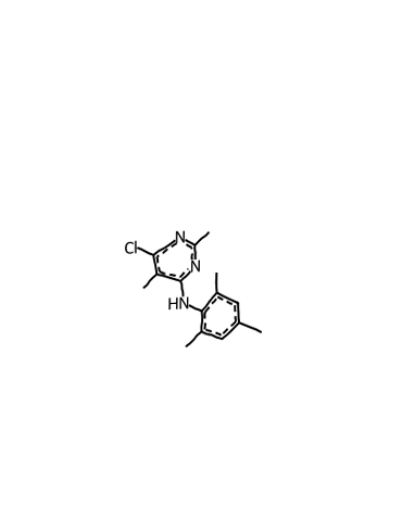 Cc1cc(C)c(Nc2nc(C)nc(Cl)c2C)c(C)c1